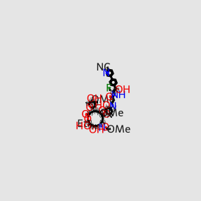 CC[C@H]1OC(=O)[C@H](C)C([C@H]2C[C@@](C)(OC)[C@@H](O)[C@H](C)O2)[C@H](C)[C@@H](O[C@@H]2O[C@H](C)C[C@H](N(C)CCC(=O)N[C@H](CF)[C@H](O)c3ccc(-c4ccc(C#N)nc4)cc3)[C@H]2O)[C@](C)(OC)C[C@@H](C)/C(=N\OCOC)[C@H](C)[C@@H](O)[C@]1(C)O